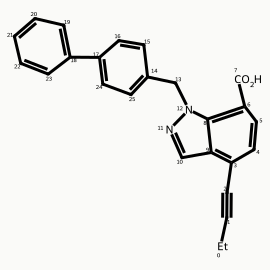 CCC#Cc1ccc(C(=O)O)c2c1cnn2Cc1ccc(-c2ccccc2)cc1